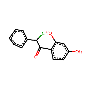 O=C(c1ccc(O)cc1O)C(Cl)c1ccccc1